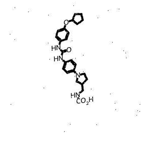 O=C(O)NCC1CCN(c2ccc(NC(=O)Nc3ccc(OC4CCCC4)cc3)cc2)C1